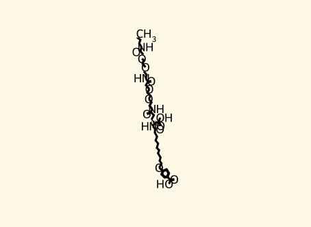 CCCCNC(=O)COCCOCCNC(=O)COCCOCCNC(=O)CC[C@H](NC(=O)CCCCCCCCCCOc1ccc(C(=O)O)cc1)C(=O)O